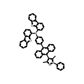 Cc1nn(-c2ccccc2)c(C)c1-c1c2ccccc2c(-c2ccc(N(c3cccc4c3oc3ccccc34)c3cccc4c3oc3ccccc34)cc2)c2ccccc12